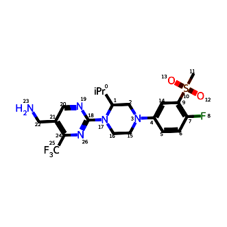 CC(C)C1CN(c2ccc(F)c(S(C)(=O)=O)c2)CCN1c1ncc(CN)c(C(F)(F)F)n1